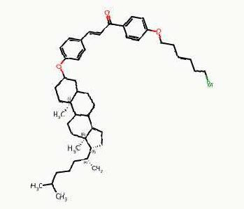 CC(C)CCC[C@@H](C)[C@H]1CCC2C3CCC4CC(Oc5ccc(C=CC(=O)c6ccc(OCCCCCCBr)cc6)cc5)CC[C@]4(C)C3CC[C@@]21C